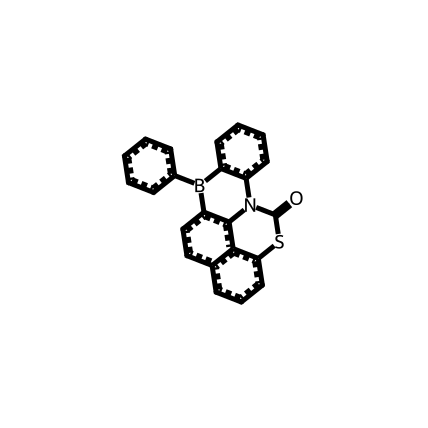 O=C1Sc2cccc3ccc4c(c23)N1c1ccccc1B4c1ccccc1